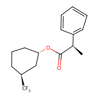 C[C@@H](C(=O)O[C@H]1CCC[C@H](C(F)(F)F)C1)c1ccccc1